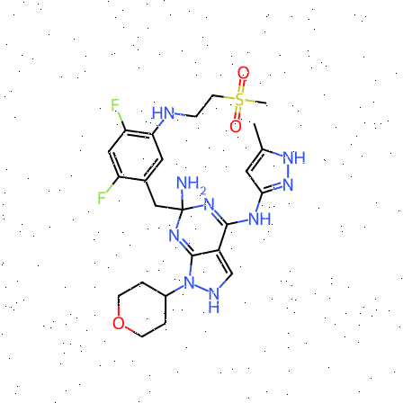 Cc1cc(NC2=NC(N)(Cc3cc(NCCS(C)(=O)=O)c(F)cc3F)N=C3C2=CNN3C2CCOCC2)n[nH]1